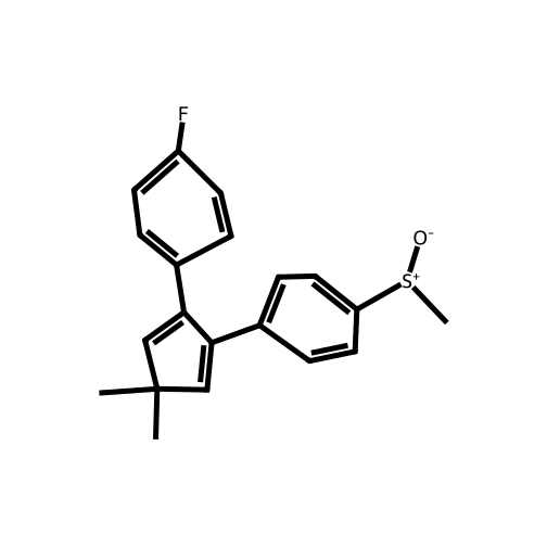 C[S+]([O-])c1ccc(C2=CC(C)(C)C=C2c2ccc(F)cc2)cc1